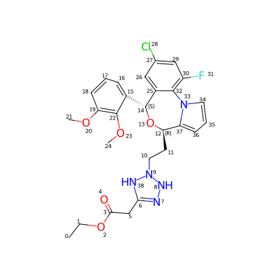 CCOC(=O)CC1=NNN(CC[C@H]2O[C@H](c3cccc(OC)c3OC)c3cc(Cl)cc(F)c3-n3cccc32)N1